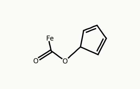 O=[C]([Fe])OC1C=CC=C1